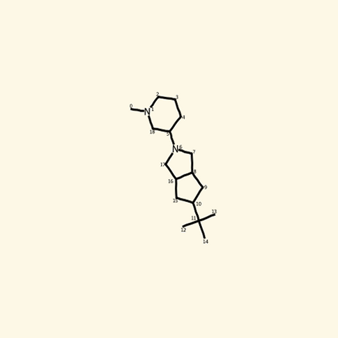 CN1CCCC(N2CC3CC(C(C)(C)C)CC3C2)C1